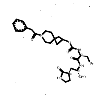 CC(C)C[C@H](NC(=O)OC1CC2(CCN(C(=O)Cc3ccccc3)CC2)C1)C(=O)N[C@H](C=O)C[C@H]1CCNC1=O